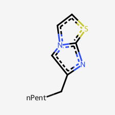 CCCCCCc1cn2ccsc2n1